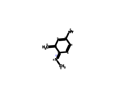 C=C1C=C(CCC)C=C/C1=N\C